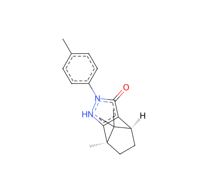 Cc1ccc(-n2[nH]c3c(c2=O)[C@H]2CC[C@]3(C)C2(C)C)cc1